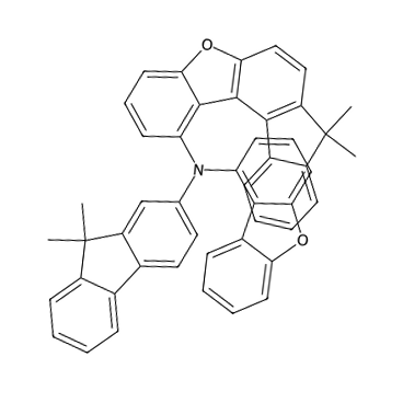 CC1(C)c2ccccc2-c2ccc(N(c3cccc4oc5ccccc5c34)c3cccc4oc5ccc6c(c5c34)-c3ccccc3C6(C)C)cc21